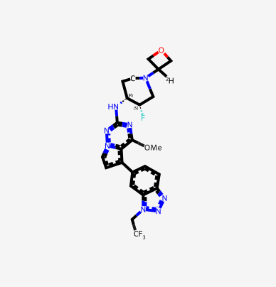 [2H]C1(N2CC[C@@H](Nc3nc(OC)c4c(-c5ccc6nnn(CC(F)(F)F)c6c5)ccn4n3)[C@@H](F)C2)COC1